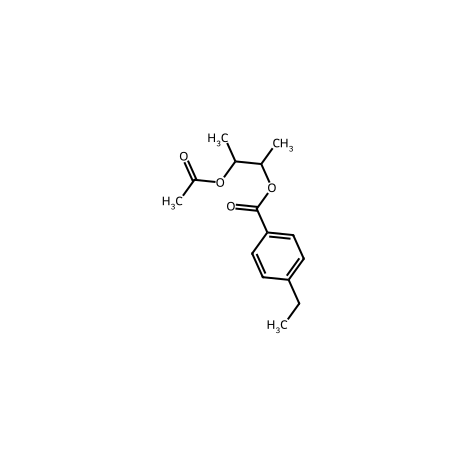 CCc1ccc(C(=O)OC(C)C(C)OC(C)=O)cc1